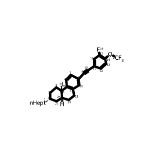 CCCCCCC[C@@H]1CC[C@@H]2c3ccc(C#Cc4ccc(OC(F)(F)F)c(F)c4)cc3CC[C@@H]2C1